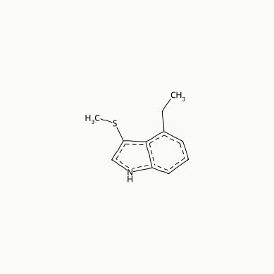 CCc1cccc2[nH]cc(SC)c12